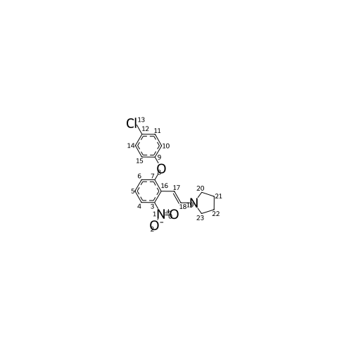 O=[N+]([O-])c1cccc(Oc2ccc(Cl)cc2)c1C=CN1CCCC1